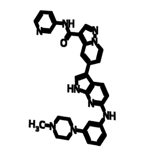 CN1CCN(c2cccc(Nc3ccc4c(-c5ccn6ncc(C(=O)Nc7cccnc7)c6c5)c[nH]c4n3)c2)CC1